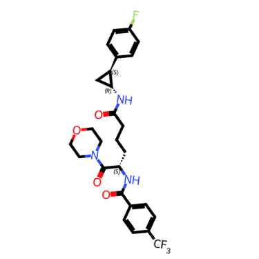 O=C(CCC[C@H](NC(=O)c1ccc(C(F)(F)F)cc1)C(=O)N1CCOCC1)N[C@@H]1C[C@H]1c1ccc(F)cc1